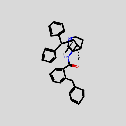 O=C(N[C@@H]1C2CCN(CC2)[C@H]1C(c1ccccc1)c1ccccc1)c1ccccc1Cc1ccccc1